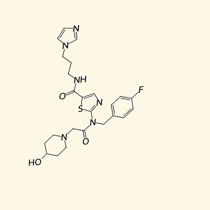 O=C(NCCCn1ccnc1)c1cnc(N(Cc2ccc(F)cc2)C(=O)CN2CCC(O)CC2)s1